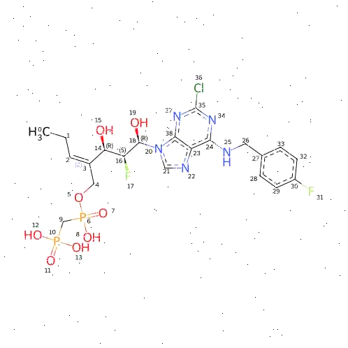 CC/C=C(/COP(=O)(O)CP(=O)(O)O)[C@@H](O)[C@H](F)[C@@H](O)n1cnc2c(NCc3ccc(F)cc3)nc(Cl)nc21